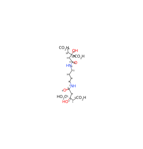 O=C(O)C[C@@](O)(CC(=O)NCCCCNC(=O)C[C@@](O)(CC(=O)O)C(=O)O)C(=O)O